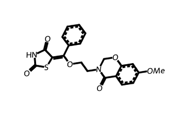 COc1ccc2c(c1)OCN(CCOC(=C1SC(=O)NC1=O)c1ccccc1)C2=O